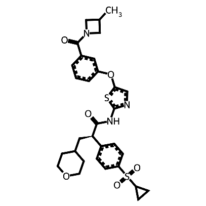 CC1CN(C(=O)c2cccc(Oc3cnc(NC(=O)[C@H](CC4CCOCC4)c4ccc(S(=O)(=O)C5CC5)cc4)s3)c2)C1